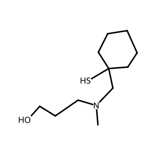 CN(CCCO)CC1(S)CCCCC1